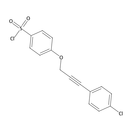 O=S(=O)(Cl)c1ccc(OCC#Cc2ccc(Cl)cc2)cc1